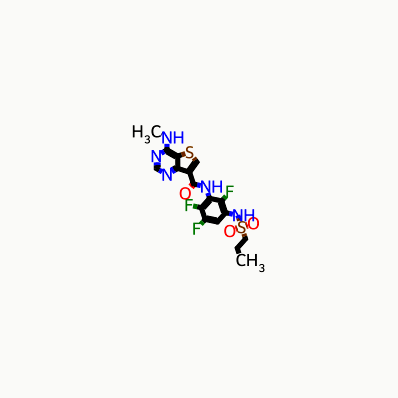 CCCS(=O)(=O)Nc1cc(F)c(F)c(NC(=O)c2csc3c(NC)ncnc23)c1F